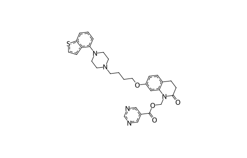 O=C(OCN1C(=O)CCc2ccc(OCCCCN3CCN(c4cccc5sccc45)CC3)cc21)c1cncnc1